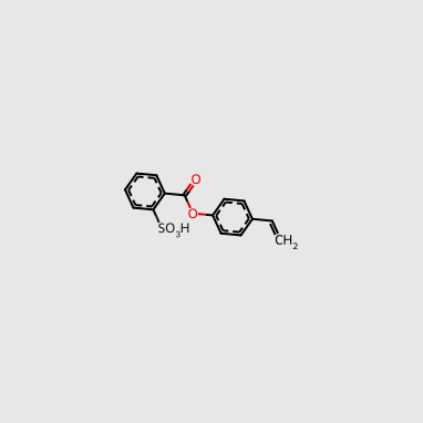 C=Cc1ccc(OC(=O)c2ccccc2S(=O)(=O)O)cc1